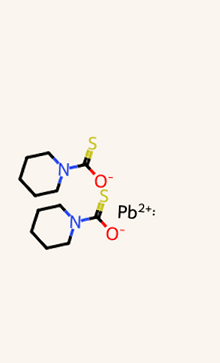 [O-]C(=S)N1CCCCC1.[O-]C(=S)N1CCCCC1.[Pb+2]